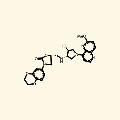 COc1ccc2nccc(N3C[C@H](NC[C@@H]4CN(c5ccc6c(c5)OCCO6)C(=O)O4)[C@@H](O)C3)c2n1